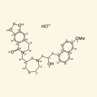 COc1ccc2c(CC(O)CN3CCCCC(CN4CCc5cc6c(cc5C4=O)OCO6)C3)cccc2c1.Cl